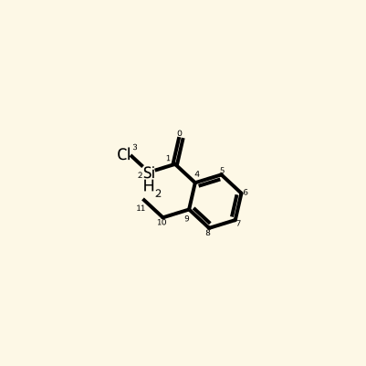 C=C([SiH2]Cl)c1ccccc1CC